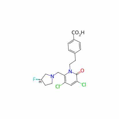 O=C(O)c1ccc(CCn2c(CN3CC[C@@H](F)C3)c(Cl)cc(Cl)c2=O)cc1